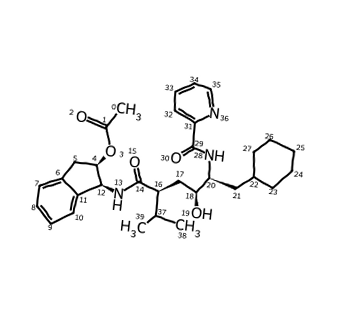 CC(=O)O[C@@H]1Cc2ccccc2[C@@H]1NC(=O)[C@@H](C[C@H](O)[C@H](CC1CCCCC1)NC(=O)c1ccccn1)C(C)C